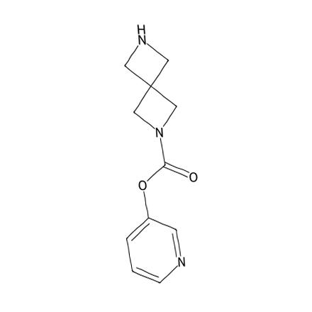 O=C(Oc1cccnc1)N1CC2(CNC2)C1